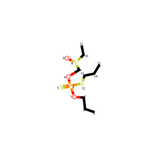 CCCOP(=S)(OC[S+]([O-])CC)SCCC